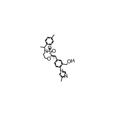 Cc1ccc(C(C)N2CCO/C(=C\c3ccc(-n4cnc(C)c4)c(CO)c3)S2(=O)=O)cc1